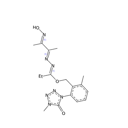 CC\C(=N/N=C(C)/C(C)=N/O)OCc1c(C)cccc1-n1nnn(C)c1=O